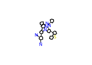 N#Cc1ccc(-c2ccc3c4ccccc4n(-c4ccc(-c5cccc6sc7ccccc7c56)cc4-c4nc(-c5ccccc5)nc(-c5ccccc5)n4)c3c2)c(C#N)c1